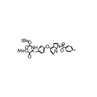 COC(=O)[C@@H](Cc1ccc(Oc2ccnc3c2ccn3S(=O)(=O)c2ccc(C)cc2)cc1)NC(=O)OC(C)(C)C